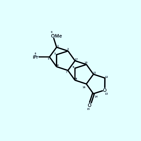 COC1C2CC(C1C(C)C)C1C3CC(C4COC(=O)C43)C21